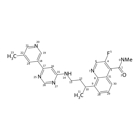 CNC(=O)c1c(F)cnc2c(C(C)CCNc3cc(-c4cncc(C)c4)ncn3)cccc12